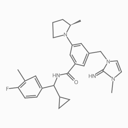 Cc1cc(C(NC(=O)c2cc(Cn3ccn(C)c3=N)cc(N3CCC[C@H]3C)c2)C2CC2)ccc1F